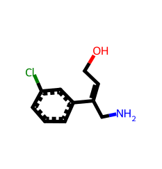 NC/C(=C/CO)c1cccc(Cl)c1